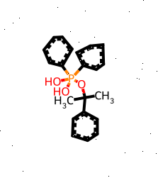 CC(C)(OP(O)(O)(c1ccccc1)c1ccccc1)c1ccccc1